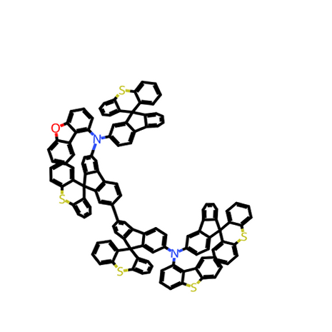 c1ccc2c(c1)Sc1ccccc1C21c2ccccc2-c2cc(N(c3ccc4c(c3)C3(c5ccccc5Sc5ccccc53)c3ccc(-c5ccc6c(c5)C5(c7ccccc7Sc7ccccc75)c5ccc(N(c7ccc8c(c7)C7(c9ccccc9Sc9ccccc97)c7ccccc7-8)c7cccc8oc9ccccc9c78)cc5-6)cc3-4)c3cccc4sc5ccccc5c34)ccc21